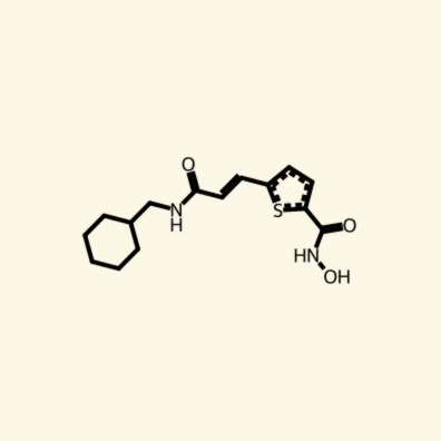 O=C(/C=C/c1ccc(C(=O)NO)s1)NCC1CCCCC1